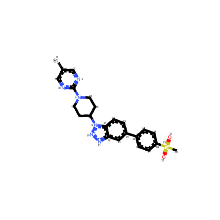 CCc1cnc(N2CCC(n3nnc4cc(-c5ccc(S(C)(=O)=O)cc5)ccc43)CC2)nc1